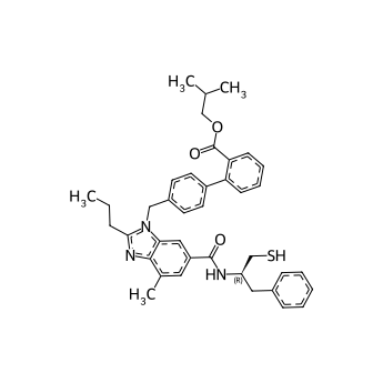 CCCc1nc2c(C)cc(C(=O)N[C@@H](CS)Cc3ccccc3)cc2n1Cc1ccc(-c2ccccc2C(=O)OCC(C)C)cc1